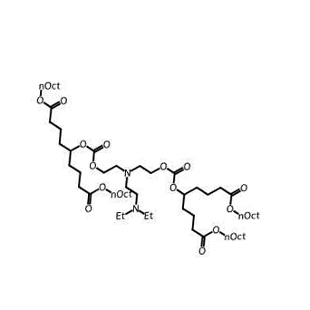 CCCCCCCCOC(=O)CCCC(CCCC(=O)OCCCCCCCC)OC(=O)OCCN(CCOC(=O)OC(CCCC(=O)OCCCCCCCC)CCCC(=O)OCCCCCCCC)CCN(CC)CC